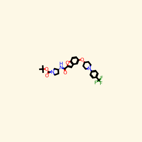 CC(C)(C)OC(=O)N1CC[C@@H](NC(=O)c2cc3cc(OC4CCN(c5ccc(C(F)(F)F)cc5)CC4)ccc3o2)C1